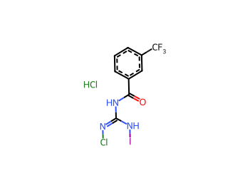 Cl.O=C(NC(=NCl)NI)c1cccc(C(F)(F)F)c1